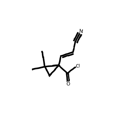 CC1(C)CC1(C=CC#N)C(=O)Cl